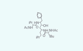 CCC(C)[C@H](NC(C)=O)C(=O)NC(CCC(C)C)C[C@H](O)C(Cc1ccccc1)NC(=O)[C@@H](NC(C)=O)C(C)C